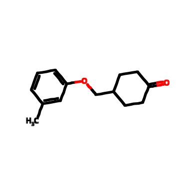 Cc1cccc(OCC2CCC(=O)CC2)c1